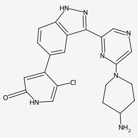 NC1CCN(c2cncc(-c3n[nH]c4ccc(-c5cc(=O)[nH]cc5Cl)cc34)n2)CC1